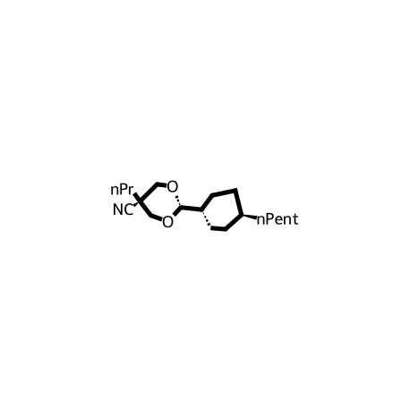 CCCCC[C@H]1CC[C@H]([C@H]2OC[C@](C#N)(CCC)CO2)CC1